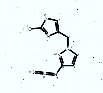 Cc1nc(Cn2ccc(N=C=S)n2)cs1